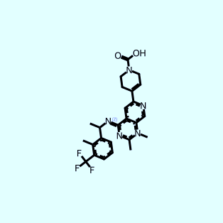 Cc1c(C(C)/N=c2\nc(C)n(C)c3cnc(C4=CCN(C(=O)O)CC4)cc23)cccc1C(F)(F)F